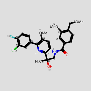 COCc1ccc(C(=O)NCC(C)(O)c2ccc(OC)c(-c3ccc(F)c(Cl)c3)n2)cc1OC